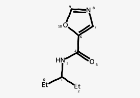 CCC(CC)NC(=O)c1cnco1